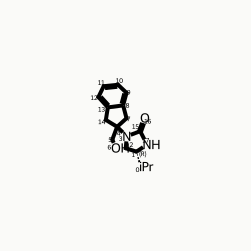 CC(C)[C@@H]1CN(C2(CO)Cc3ccccc3C2)C(=O)N1